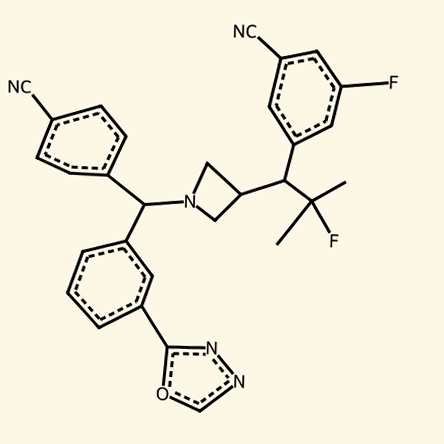 CC(C)(F)C(c1cc(F)cc(C#N)c1)C1CN(C(c2ccc(C#N)cc2)c2cccc(-c3nnco3)c2)C1